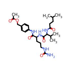 CC(=O)OCc1ccc(NC(=O)C(CCCNC(N)=O)NC(=O)C(NC(=O)CCC(C)C)C(C)C)cc1